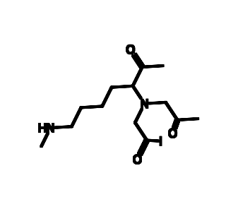 CNCCCCC(C(C)=O)N(CC(C)=O)CC(=O)I